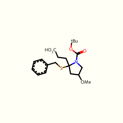 COC1CN(C(=O)OC(C)(C)C)C(CCC(=O)O)(SCc2ccccc2)C1